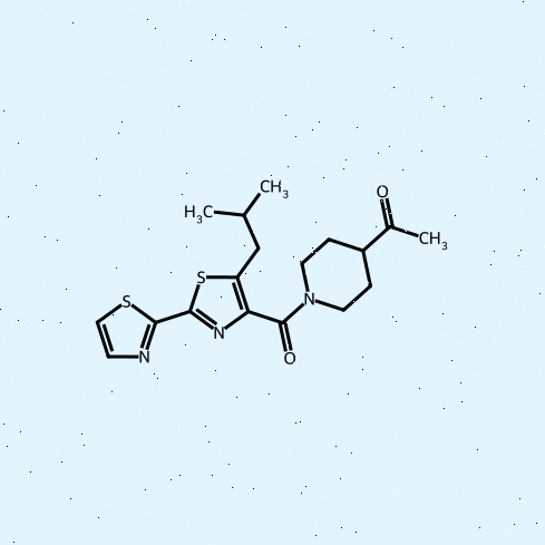 CC(=O)C1CCN(C(=O)c2nc(-c3nccs3)sc2CC(C)C)CC1